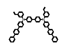 C=Cc1cccc(N(c2ccc(-c3ccc(-c4ccccc4)cc3)cc2)c2ccc(-c3ccc(N(c4ccc(-c5ccc(-c6ccccc6)cc5)cc4)c4cccc(C=C)c4)cc3)cc2)c1